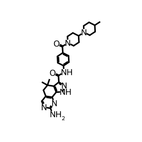 CC1CCN(C2CCN(C(=O)c3ccc(NC(=O)c4n[nH]c5c4C(C)(C)Cc4cnc(N)nc4-5)cc3)CC2)CC1